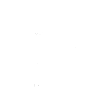 COc1ccccc1C(O)c1cc(C(F)(F)F)nc2c(C(F)(F)F)cccc12